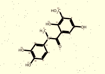 CN(C(=O)c1cc(O)cc(C(=O)O)c1O)c1ccc(O)c(O)c1